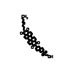 CCCCOCCCN1C(=O)c2ccc3c4ccc5c6c(ccc(c7ccc(c2c37)C1=O)c64)C(=O)N(c1ccc2cc(S(=O)(=O)CCO)ccc2c1)C5=O